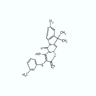 Cc1cccc(Sc2c(O)c3c(=O)n4c(cc3oc2=O)C(C)(C)c2cc(C(F)(F)F)ccc2-4)c1